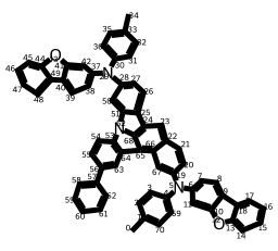 Cc1ccc(N(c2ccc3c(c2)oc2ccccc23)c2ccc3cc4c5ccc(N(c6ccc(C)cc6)c6ccc7c(c6)oc6ccccc67)cc5n5c6ccc(-c7ccccc7)cc6c(c3c2)c45)cc1